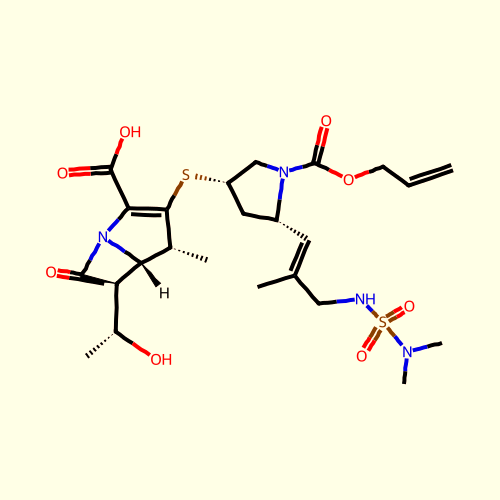 C=CCOC(=O)N1C[C@@H](SC2=C(C(=O)O)N3C(=O)[C@H]([C@@H](C)O)[C@H]3[C@H]2C)C[C@H]1/C=C(\C)CNS(=O)(=O)N(C)C